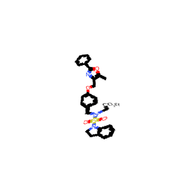 CCOC(=O)CN(Cc1ccc(OCc2nc(-c3ccccc3)oc2C)cc1)S(=O)(=O)N1CCc2ccccc21